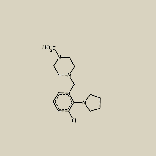 O=C(O)N1CCN(Cc2cccc(Cl)c2N2CCCC2)CC1